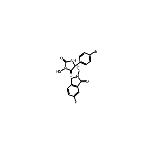 O=C1c2cc(F)ccc2CN1C[C@@]1(c2ccc(Br)cc2)NC(=O)N(S)C1=O